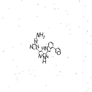 NC1CN(c2cncc(-c3cnc4[nH]nc(-c5cc6c(-c7ccoc7)cccc6[nH]5)c4c3)n2)C1